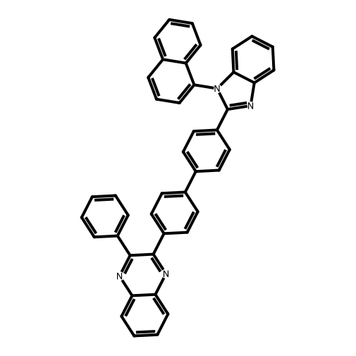 c1ccc(-c2nc3ccccc3nc2-c2ccc(-c3ccc(-c4nc5ccccc5n4-c4cccc5ccccc45)cc3)cc2)cc1